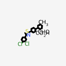 Cc1ccc(C=O)c(-c2ccc(-c3nc(-c4ccc(Cl)c(Cl)c4)cs3)cc2C(=O)O)c1